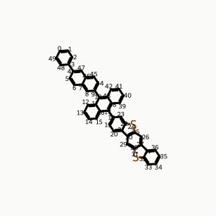 c1ccc(-c2ccc3cc(-c4c5ccccc5c(-c5ccc6c(c5)sc5cc7c(cc56)sc5ccccc57)c5ccccc45)ccc3c2)cc1